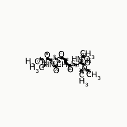 CCN(CC)C(=O)[C@H](CSC(=O)/C=C/C(=O)SC[C@H](NC(C)=O)C(=O)N(CC)CC)NC(C)=O